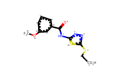 O=C(O)CSc1nnc(NC(=O)c2cccc(OC(F)(F)F)c2)s1